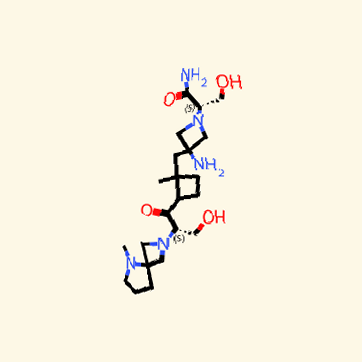 CN1CCCC12CN([C@@H](CO)C(=O)C1CCC1(C)CC1(N)CN([C@@H](CO)C(N)=O)C1)C2